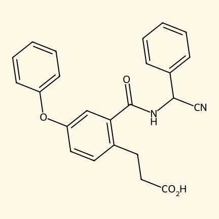 N#CC(NC(=O)c1cc(Oc2ccccc2)ccc1CCC(=O)O)c1ccccc1